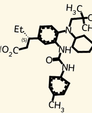 CC[C@@H](CC(=O)O)c1ccc(N(CC(C)(C)O)C2CCCCC2)c(NC(=O)Nc2ccc(C)cc2)c1